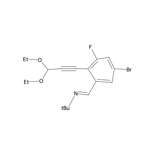 CCOC(C#Cc1c(F)cc(Br)cc1/C=N/C(C)(C)C)OCC